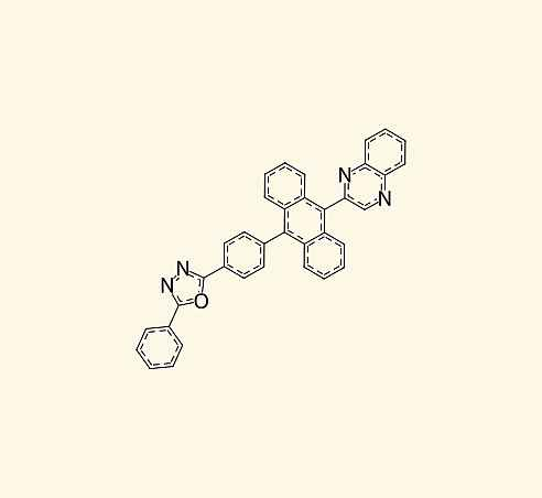 c1ccc(-c2nnc(-c3ccc(-c4c5ccccc5c(-c5cnc6ccccc6n5)c5ccccc45)cc3)o2)cc1